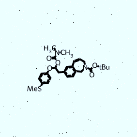 CSc1ccc(OC(Cc2ccc3c(c2)C=CCN(C(=O)OC(C)(C)C)C3)OC(=O)N(C)C)cc1